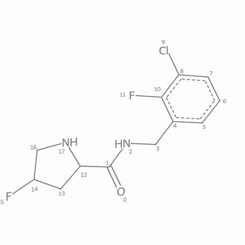 O=C(NCc1cccc(Cl)c1F)C1CC(F)CN1